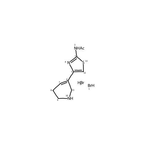 Br.Br.CC(=O)Nc1nc(C2=CCCNC2)cs1